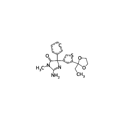 CCC1(c2cc(C3(c4ccccc4)N=C(N)N(C)C3=O)cs2)OCCO1